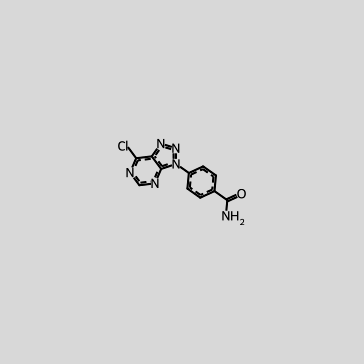 NC(=O)c1ccc(-n2nnc3c(Cl)ncnc32)cc1